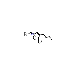 CCCCC1=C/C(=C/Br)OC1=O